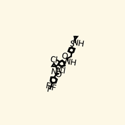 O=C(Cc1ccc(SNC2CC2)cc1)Nc1cc(Cl)c(C2(c3noc(-c4ccc(C(F)(F)F)cc4)n3)CC2)c(Cl)c1